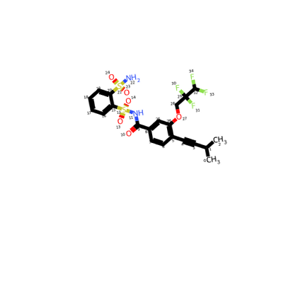 CC(C)C#Cc1ccc(C(=O)NS(=O)(=O)c2ccccc2S(N)(=O)=O)cc1OCC(F)(F)C(F)F